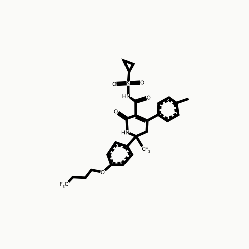 Cc1ccc(C2=C(C(=O)NS(=O)(=O)C3CC3)C(=O)NC(c3ccc(OCCCC(F)(F)F)cc3)(C(F)(F)F)C2)cc1